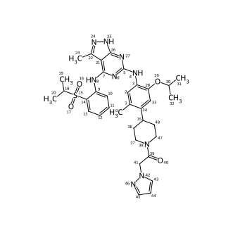 Cc1cc(Nc2nc(Nc3ccccc3S(=O)(=O)C(C)C)c3c(C)n[nH]c3n2)c(OC(C)C)cc1C1CCN(C(=O)Cn2cccn2)CC1